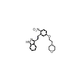 O=[N+]([O-])c1ccc(OCCN2CCOCC2)cc1/C=C/c1n[nH]c2ccccc12